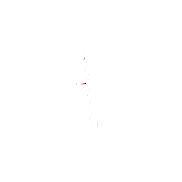 CCCCCCCC(=O)OCC[C]=O